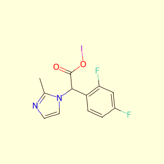 Cc1nccn1C(C(=O)OI)c1ccc(F)cc1F